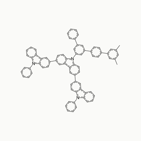 Cc1cc(C)cc(-c2ccc(-c3cc(-c4ccccc4)cc(-n4c5ccc(-c6ccc7c(c6)c6ccccc6n7-c6ccccc6)cc5c5cc(-c6ccc7c(c6)c6ccccc6n7-c6ccccc6)ccc54)c3)cc2)c1